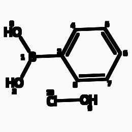 OB(O)c1ccccc1.OCl